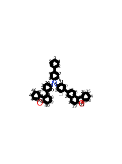 c1ccc(-c2ccc(N(c3ccc(-c4ccc5c(ccc6oc7ccccc7c65)c4)cc3)c3cccc(-c4cccc5oc6ccccc6c45)c3)cc2)cc1